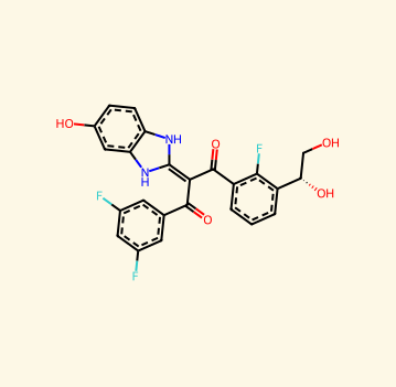 O=C(C(C(=O)c1cccc([C@@H](O)CO)c1F)=C1Nc2ccc(O)cc2N1)c1cc(F)cc(F)c1